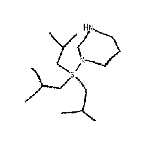 CC(C)C[Si](CC(C)C)(CC(C)C)N1CCCNC1